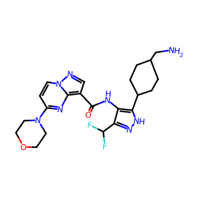 NCC1CCC(c2[nH]nc(C(F)F)c2NC(=O)c2cnn3ccc(N4CCOCC4)nc23)CC1